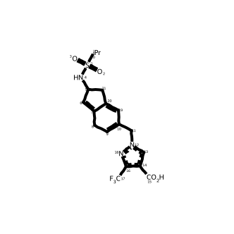 CC(C)S(=O)(=O)NC1C=C2CC=C(Cn3cc(C(=O)O)c(C(F)(F)F)n3)C=C2C1